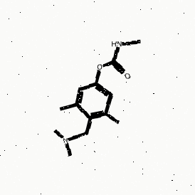 CNC(=O)Oc1cc(C)c(CN(C)C)c(C)c1